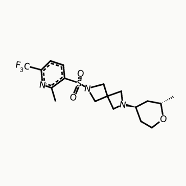 Cc1nc(C(F)(F)F)ccc1S(=O)(=O)N1CC2(CN([C@@H]3CCO[C@@H](C)C3)C2)C1